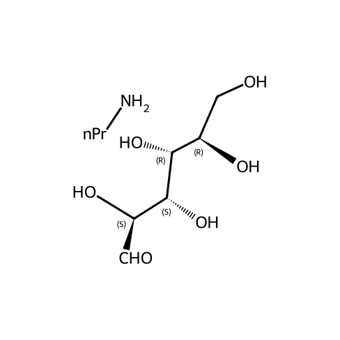 CCCN.O=C[C@@H](O)[C@@H](O)[C@H](O)[C@H](O)CO